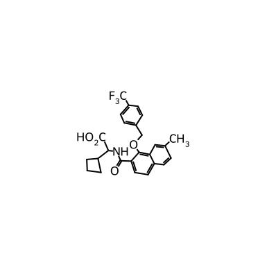 Cc1ccc2ccc(C(=O)NC(C(=O)O)C3CCC3)c(OCc3ccc(C(F)(F)F)cc3)c2c1